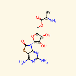 CC(C)[C@H](N)C(=O)OC[C@H]1O[C@@H](n2c(=O)sc3c(N)nc(N)nc32)[C@H](O)[C@@H]1O